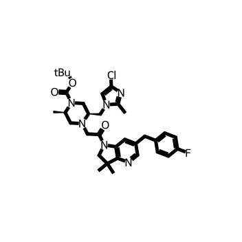 Cc1nc(Cl)cn1C[C@@H]1CN(C(=O)OC(C)(C)C)[C@H](C)CN1CC(=O)N1CC(C)(C)c2ncc(Cc3ccc(F)cc3)cc21